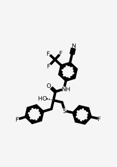 N#Cc1ccc(NC(=O)[C@@](O)(CSc2ccc(F)cc2)Cc2ccc(F)cc2)cc1C(F)(F)F